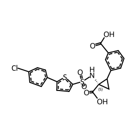 O=C(O)c1cccc(C2C[C@@]2(NS(=O)(=O)c2ccc(-c3ccc(Cl)cc3)s2)C(=O)O)c1